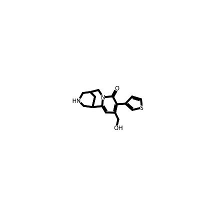 O=c1c(-c2ccsc2)c(CO)cc2n1CC1CNCC2C1